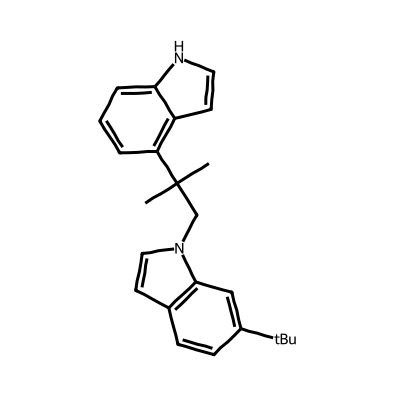 CC(C)(C)c1ccc2ccn(CC(C)(C)c3cccc4[nH]ccc34)c2c1